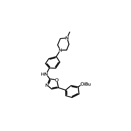 CC(C)COc1cccc(-c2cnc(Nc3ccc(N4CCN(C)CC4)cc3)o2)c1